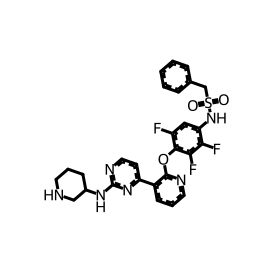 O=S(=O)(Cc1ccccc1)Nc1cc(F)c(Oc2ncccc2-c2ccnc(NC3CCCNC3)n2)c(F)c1F